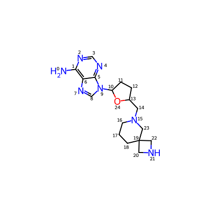 Nc1ncnc2c1ncn2C1CCC(CN2CCCC3(CNC3)C2)O1